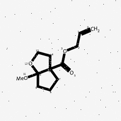 C=CCOC(=O)C12CCCC1(OC)OCC2